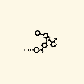 Nc1ncccc1-c1nc2ccc(-c3ccccc3)nc2n1-c1ccc(C(=O)N2CCC(C(=O)O)CC2)cc1